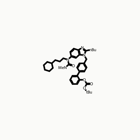 CCCCc1nc2ccc(N(CCCC3CCCCC3)C(=O)NC)cc2n1Cc1ccc(-c2ccccc2OC(=O)OC(C)(C)C)cc1